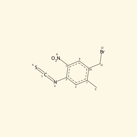 Cc1cc(N=C=S)c([N+](=O)[O-])cc1CBr